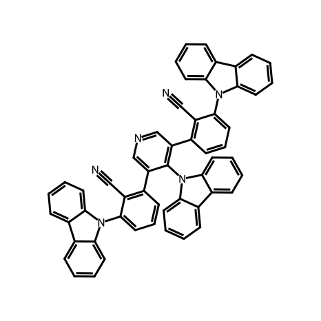 N#Cc1c(-c2cncc(-c3cccc(-n4c5ccccc5c5ccccc54)c3C#N)c2-n2c3ccccc3c3ccccc32)cccc1-n1c2ccccc2c2ccccc21